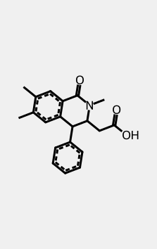 Cc1cc2c(cc1C)C(c1ccccc1)C(CC(=O)O)N(C)C2=O